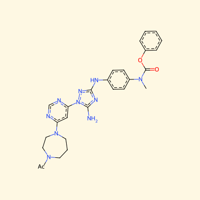 CC(=O)N1CCCN(c2cc(-n3nc(Nc4ccc(N(C)C(=O)Oc5ccccc5)cc4)nc3N)ncn2)CC1